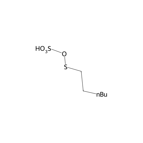 CCCCCCSOS(=O)(=O)O